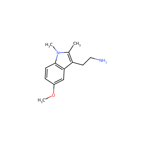 COc1ccc2c(c1)c(CCN)c(C)n2C